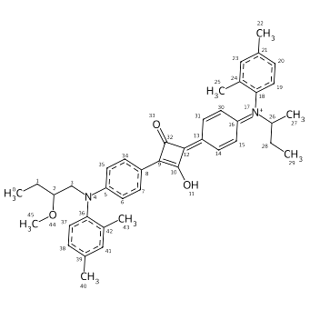 CCC(CN(c1ccc(C2=C(O)C(=C3C=CC(=[N+](c4ccc(C)cc4C)C(C)CC)C=C3)C2=O)cc1)c1ccc(C)cc1C)OC